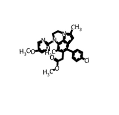 COC(=O)Cc1c(C)c2c3c(cc(C)n3CCN2c2ncc(OC)cn2)c1-c1ccc(Cl)cc1